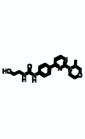 CC1COCCN1c1nccc(-c2ccc(NC(=O)NCCO)cc2)n1